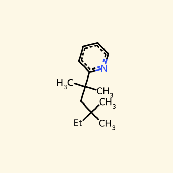 CCC(C)(C)CC(C)(C)c1ccccn1